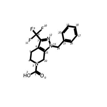 O=C(O)N1CCc2c(C(F)(F)F)nn(Cc3ccccc3)c2C1